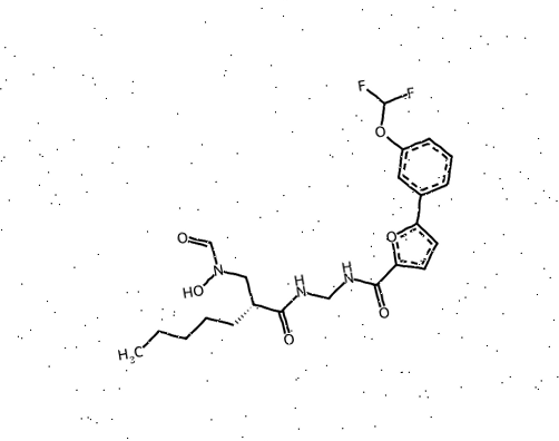 CCCCC[C@H](CN(O)C=O)C(=O)NCNC(=O)c1ccc(-c2cccc(OC(F)F)c2)o1